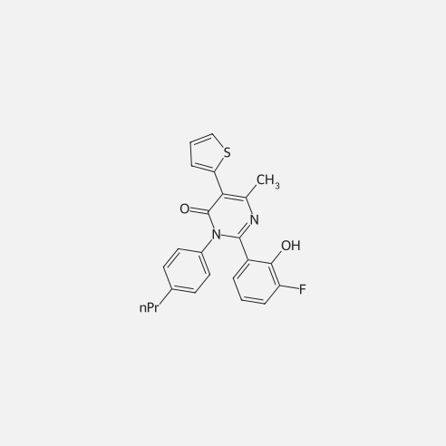 CCCc1ccc(-n2c(-c3cccc(F)c3O)nc(C)c(-c3cccs3)c2=O)cc1